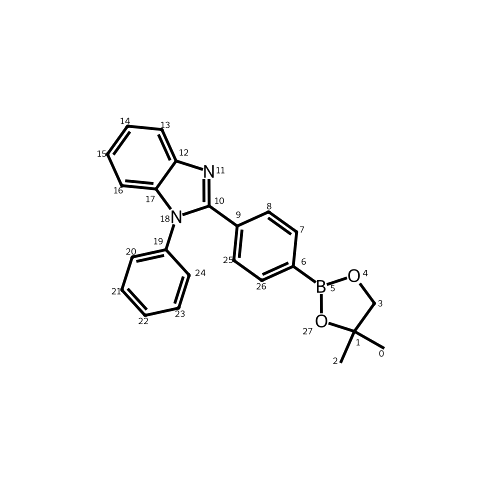 CC1(C)COB(c2ccc(-c3nc4ccccc4n3-c3ccccc3)cc2)O1